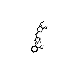 CCN1C/C(=C/c2cnn(-c3ccccc3Cl)c2)SC1=S